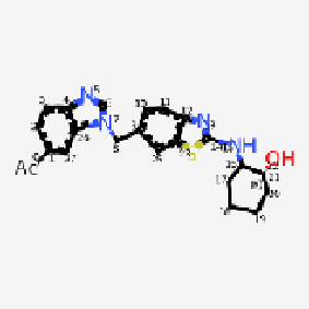 CC(=O)c1ccc2ncn(Cc3ccc4nc(NC5CCCC[C@H]5O)sc4c3)c2c1